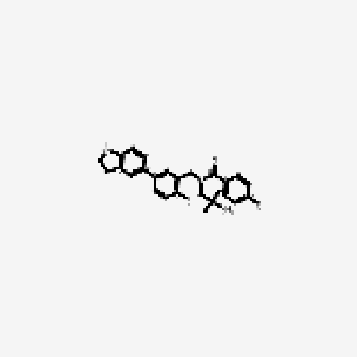 CC(C)(N)CN(Cc1cc(-c2ccc3c(c2)CCN3)ccc1F)C(=O)c1ccc(F)cc1